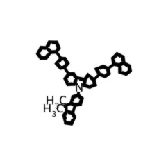 CC1(C)c2ccccc2-c2ccc(-n3c4ccc(-c5ccc(-c6cccc7ccccc67)cc5)cc4c4cc(-c5ccc(-c6cccc7ccccc67)cc5)ccc43)cc21